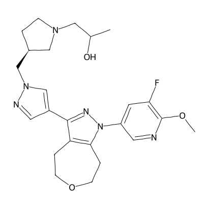 COc1ncc(-n2nc(-c3cnn(C[C@H]4CCN(CC(C)O)C4)c3)c3c2CCOCC3)cc1F